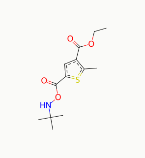 CCOC(=O)c1cc(C(=O)ONC(C)(C)C)sc1C